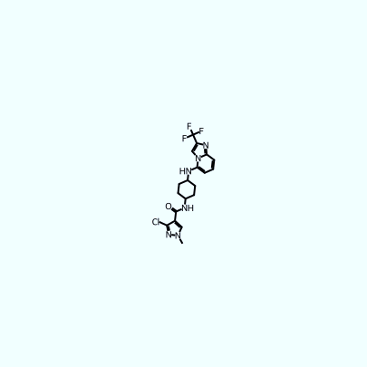 Cn1cc(C(=O)NC2CCC(Nc3cccc4nc(C(F)(F)F)cn34)CC2)c(Cl)n1